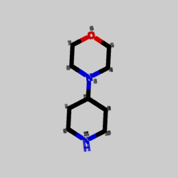 C1C[C](N2CCOCC2)CCN1